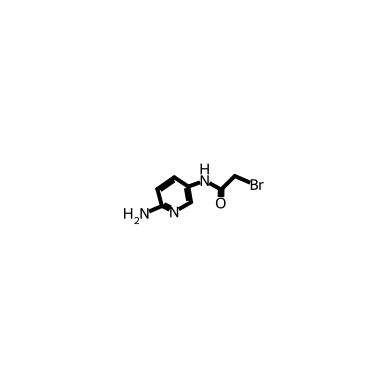 Nc1ccc(NC(=O)CBr)cn1